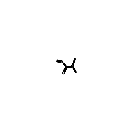 C=NC(=O)N(C)C